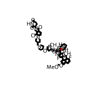 C#Cc1c(F)ccc2cc(OCOC)cc(-c3ncc4c(N5C[C@H]6CC[C@@H](C5)N6C(=O)OC(C)(C)C)nc(OC[C@@H]5C[C@@H](OC6CCN(CC7CCN(c8ccc9c(c8Cl)CN(C8CCC(=O)NC8=O)C9=O)CC7)CC6)CN5C)nc4c3F)c12